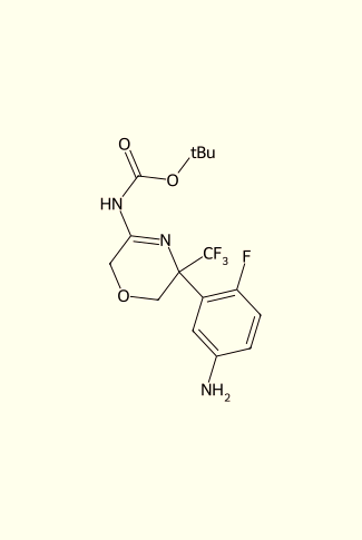 CC(C)(C)OC(=O)NC1=NC(c2cc(N)ccc2F)(C(F)(F)F)COC1